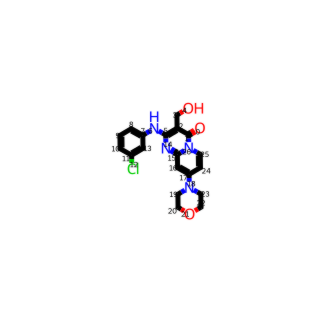 O=c1c(CO)c(Nc2cccc(Cl)c2)nc2cc(N3CCOCC3)ccn12